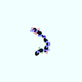 CN(CCNc1ccc2c(c1)C(=O)N(C1CCC(=O)NC1=O)C2=O)CC[C@]1(C)CCN(c2cc(N3CCC4(CC3)CN(c3cc(F)c(CN5CCC(C)(C)CC5)cc3F)CC(=O)N4)ncn2)C1